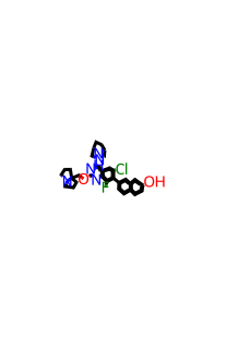 Oc1ccc2ccc(-c3c(Cl)cc4c(N5CC6CCC(C5)N6)nc(OCC56CCCN5CCC6)nc4c3F)cc2c1